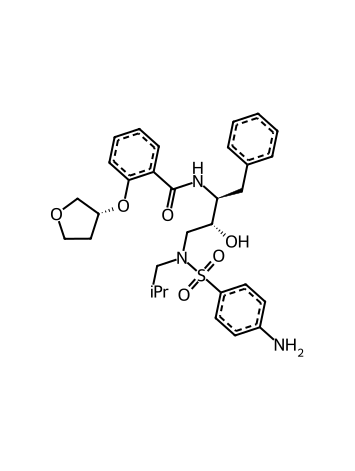 CC(C)CN(C[C@@H](O)[C@H](Cc1ccccc1)NC(=O)c1ccccc1O[C@@H]1CCOC1)S(=O)(=O)c1ccc(N)cc1